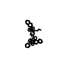 CCCCC1CN(C(=O)C(C)N(c2ccc3ccccc3c2)S(=O)(=O)c2ccccc2)CCN1S(=O)(=O)c1ccc2ccccc2c1